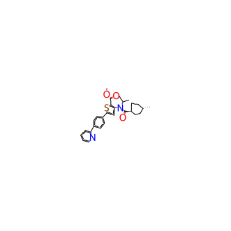 COC(=O)c1sc(-c2ccc(-c3ccccn3)cc2)cc1N(C(=O)[C@H]1CC[C@H](C)CC1)C(C)C